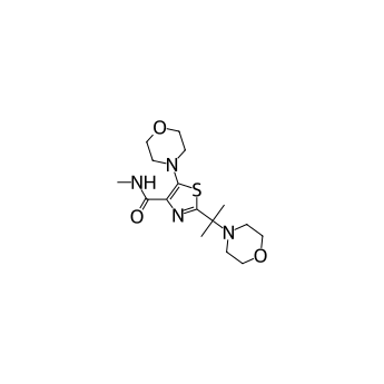 CNC(=O)c1nc(C(C)(C)N2CCOCC2)sc1N1CCOCC1